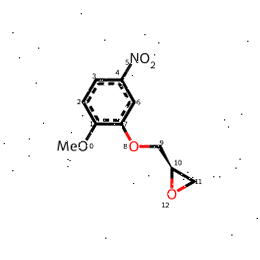 COc1ccc([N+](=O)[O-])cc1OC[C@H]1CO1